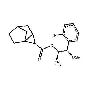 CO[C@H](c1ccccc1Cl)[C@@H](C)OC(=O)N1C2CC3CCC21C3